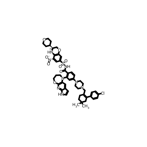 CC1(C)CCC(CN2CCN(c3ccc(C(=O)NS(=O)(=O)c4cc5c(c([N+](=O)[O-])c4)N[C@@H](C4CCOCC4)CO5)c(N4CCCOc5nc6[nH]ccc6cc54)c3)CC2)=C(c2ccc(Cl)cc2)C1